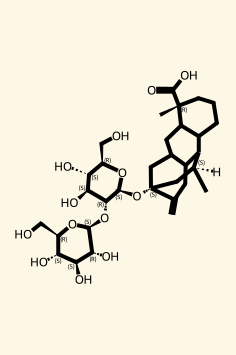 C=C1CC2C3CC4C(CCC[C@@]4(C)C(=O)O)C2[C@@H](C)C[C@]1(O[C@@H]1O[C@H](CO)[C@@H](O)[C@H](O)[C@H]1O[C@@H]1O[C@H](CO)[C@@H](O)[C@H](O)[C@H]1O)C3